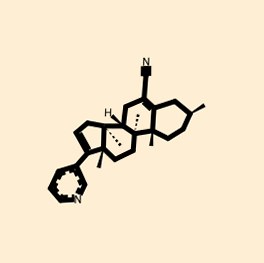 C[C@H]1CC[C@@]2(C)C(=C(C#N)C[C@@H]3[C@]2(C)CC[C@]2(C)C(c4cccnc4)=CC[C@@]32C)C1